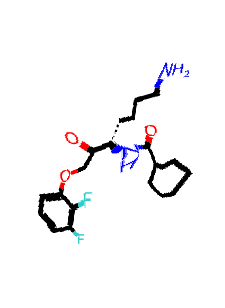 NCCCC[C@H](NC(=O)C1CCCC1)C(=O)COc1cccc(F)c1F